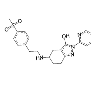 CS(=O)(=O)c1ccc(CCNC2CCc3nn(-c4ccccn4)c(O)c3C2)cc1